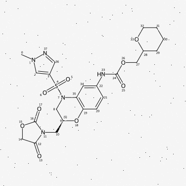 Cn1cc(S(=O)(=O)N2C[C@H](CN3C(=O)COC3=O)Oc3ccc(NC(=O)OCC4CCCCO4)cc32)cn1